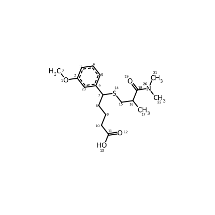 COc1cccc(C(CCCC(=O)O)SCC(C)C(=O)N(C)C)c1